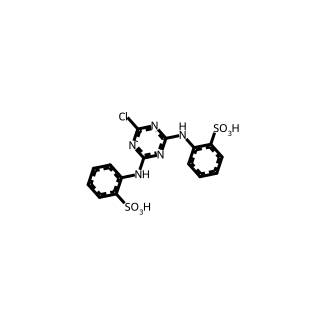 O=S(=O)(O)c1ccccc1Nc1nc(Cl)nc(Nc2ccccc2S(=O)(=O)O)n1